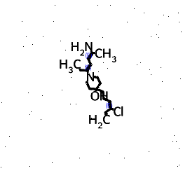 C=C/C(Cl)=C\CCC1(O)CCN(/C(=C/C=C(\C)N)CC)CC1